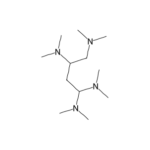 CN(C)CC(CC(N(C)C)N(C)C)N(C)C